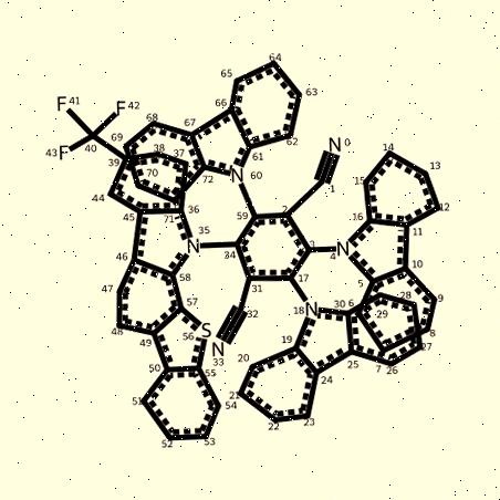 N#Cc1c(-n2c3ccccc3c3ccccc32)c(-n2c3ccccc3c3ccccc32)c(C#N)c(-n2c3ccc(C(F)(F)F)cc3c3ccc4c5ccccc5sc4c32)c1-n1c2ccccc2c2ccccc21